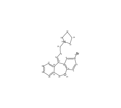 Brc1ccc2c(c1)C(=CCCN1CCCC1)c1ccccc1CO2